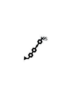 S=C=Nc1ccc(C#Cc2ccc(-c3ccc(CC4CC4)cc3)cc2)cc1